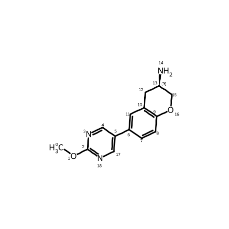 COc1ncc(-c2ccc3c(c2)C[C@@H](N)CO3)cn1